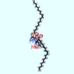 CCCCCCCC/C=C\CCCCCCCC(=O)OC(C)C(NC(C)(C)CC(C)O)OC(=O)CCCCCCC/C=C\CCCCCCCC